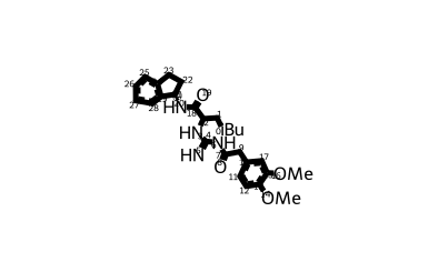 CCC(C)CC(NC(=N)NC(=O)Cc1ccc(OC)c(OC)c1)C(=O)N[C@@H]1CCc2ccccc21